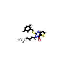 Cc1ccc(C)c(CSc2nc3ccsc3c(=O)n2CCCCC(=O)O)c1